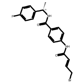 C[C@H](NC(=O)c1ccc(NC(=O)C=CCBr)cc1)c1ccc(F)cc1